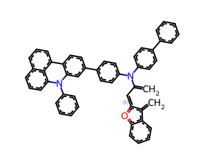 C=C(/C=c1/oc2ccccc2c1=C)N(c1ccc(-c2ccccc2)cc1)c1ccc(-c2ccc3c(c2)N(c2ccccc2)c2cccc4cccc-3c24)cc1